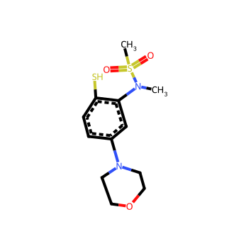 CN(c1cc(N2CCOCC2)ccc1S)S(C)(=O)=O